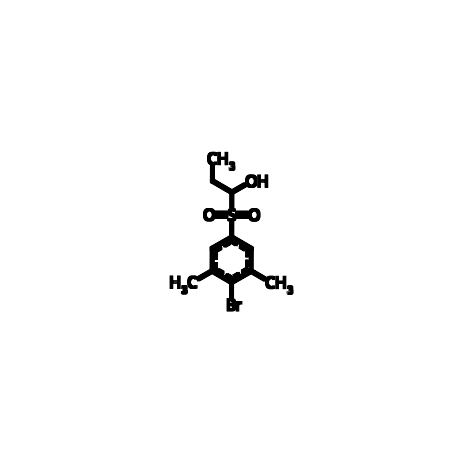 CCC(O)S(=O)(=O)c1cc(C)c(Br)c(C)c1